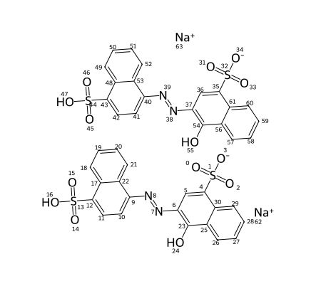 O=S(=O)([O-])c1cc(N=Nc2ccc(S(=O)(=O)O)c3ccccc23)c(O)c2ccccc12.O=S(=O)([O-])c1cc(N=Nc2ccc(S(=O)(=O)O)c3ccccc23)c(O)c2ccccc12.[Na+].[Na+]